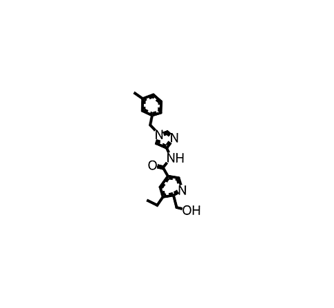 CCc1cc(C(=O)Nc2cn(Cc3cccc(C)c3)cn2)cnc1CO